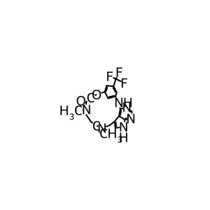 CN1CCCN(C)C(=O)COc2cc(cc(C(F)(F)F)c2)Nc2ncnc3[nH]cc(c23)C1